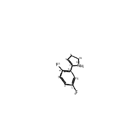 Fc1ccc(F)c(C2=CCCN2)c1